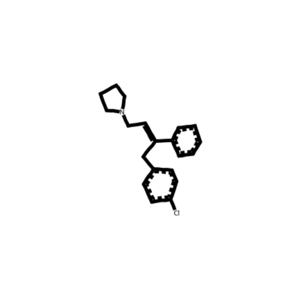 Clc1ccc(C/C(=C\CN2CCCC2)c2ccccc2)cc1